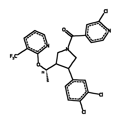 C[C@H](Oc1ncccc1C(F)(F)F)C1CN(C(=O)c2ccnc(Cl)c2)CC1c1ccc(Cl)c(Cl)c1